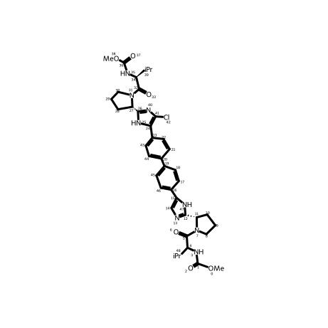 COC(=O)NC(C(=O)N1CCC[C@H]1c1ncc(-c2ccc(-c3ccc(-c4[nH]c([C@@H]5CCCN5C(=O)[C@@H](NC(=O)OC)C(C)C)nc4Cl)cc3)cc2)[nH]1)C(C)C